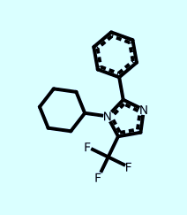 FC(F)(F)c1cnc(-c2ccccc2)n1C1CCCCC1